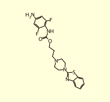 Nc1cc(F)c(NC(=O)OCCCN2CCN(c3nc4ccccc4s3)CC2)c(F)c1